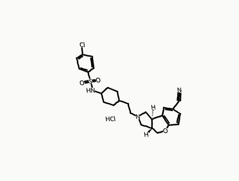 Cl.N#Cc1ccc2c(c1)[C@@H]1CN(CCC3CCC(NS(=O)(=O)c4ccc(Cl)cc4)CC3)C[C@H]1CO2